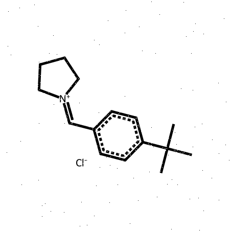 CC(C)(C)c1ccc(C=[N+]2CCCC2)cc1.[Cl-]